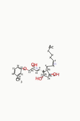 CC(=O)CCC/C=C\C[C@@H]1[C@@H](/C=C/[C@@H](O)COc2cccc(C(F)(F)F)c2)[C@H](O)C[C@@H]1O